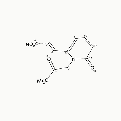 COC(=O)Cn1c(/C=C/C(=O)O)cccc1=O